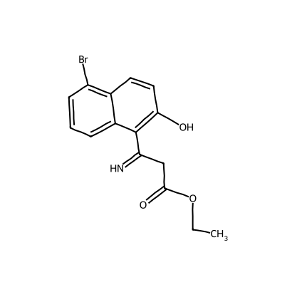 CCOC(=O)CC(=N)c1c(O)ccc2c(Br)cccc12